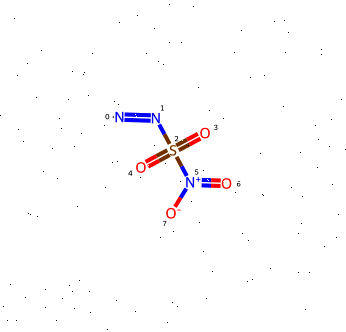 [N]=NS(=O)(=O)[N+](=O)[O-]